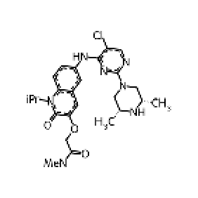 CNC(=O)COc1cc2cc(Nc3nc(N4C[C@@H](C)N[C@@H](C)C4)ncc3Cl)ccc2n(C(C)C)c1=O